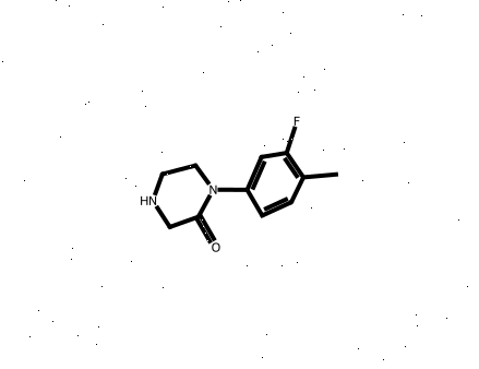 Cc1ccc(N2CCNCC2=O)cc1F